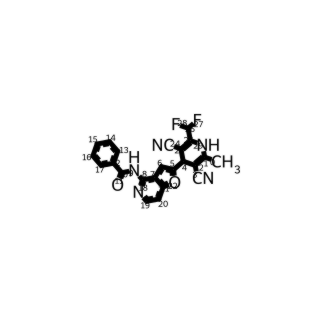 CC1=C(C#N)C(c2cc3c(NC(=O)c4ccccc4)nccc3o2)C(C#N)=C(C(F)F)N1